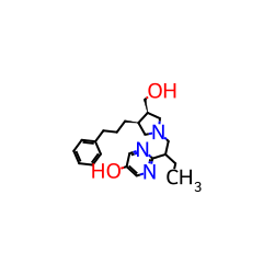 CCC(CN1C[C@@H](CCCc2ccccc2)[C@@H](CO)C1)c1ncc(O)cn1